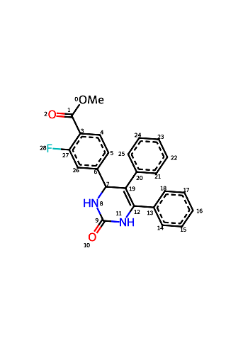 COC(=O)c1ccc(C2NC(=O)NC(c3ccccc3)=C2c2ccccc2)cc1F